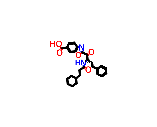 O=C(CCC1CCCCC1)N[C@@H](CCc1ccccc1)C(=O)c1nc2ccc(C(=O)O)cc2o1